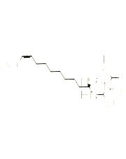 CCCCCCCC/C=C\CCCCCCCC(=O)NC(CC)[N+](C)(C)C(O)CC